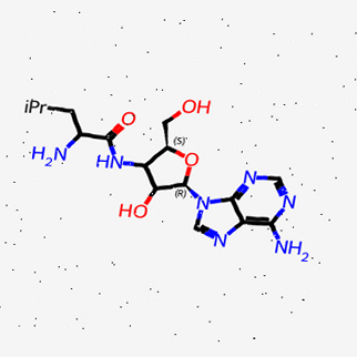 CC(C)CC(N)C(=O)NC1C(O)[C@H](n2cnc3c(N)ncnc32)O[C@@H]1CO